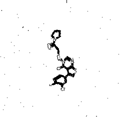 O=C(COn1cnc2scc(-c3ccc(F)c(Cl)c3)c2c1=O)N1CCCC1